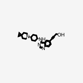 OCC#Cc1ccc2ncnc(N[C@H]3CC[C@H](N4CCC5(CC4)CC5)CC3)c2c1